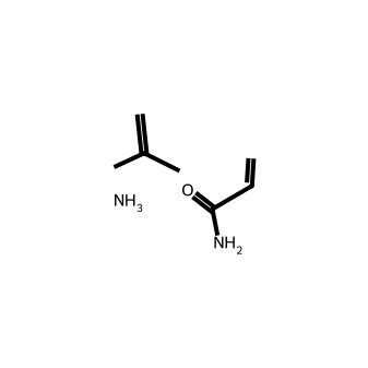 C=C(C)C.C=CC(N)=O.N